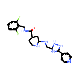 O=C(NCc1c(F)cccc1F)C1CCNC(NCC2NNC(c3ccncc3)N2)C1